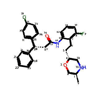 C[C@H]1CO[C@H](CCc2c(F)cccc2NC(=O)C[C@H](c2ccccc2)c2ccc(Cl)cc2)CN1